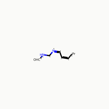 CC(C)/C=C\C=N/CNC=O